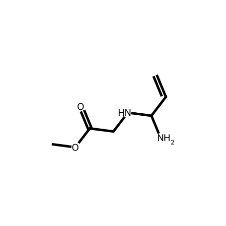 C=CC(N)NCC(=O)OC